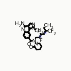 C=C/C(=C\C(F)=C(/F)CN(C(=O)c1ccc2nc(N)c3cnn(C)c3c2c1)N1CCCCC1=O)C(F)(F)F